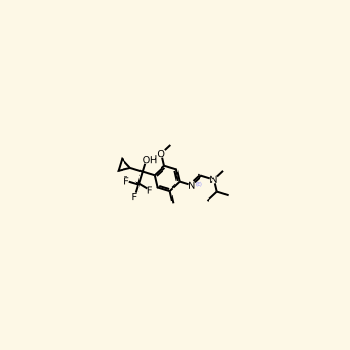 COc1cc(/N=C/N(C)C(C)C)c(C)cc1C(O)(C1CC1)C(F)(F)F